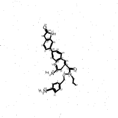 CCCN(OCc1ccc(N)cc1)C(=O)C1=Cc2ccc(-c3ccc4c(c3)NC(=O)C4)cc2N=C(N)C1